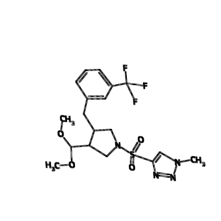 COC(OC)C1CN(S(=O)(=O)c2cn(C)nn2)CC1Cc1cccc(C(F)(F)F)c1